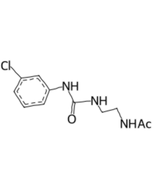 CC(=O)NCCNC(=O)Nc1cccc(Cl)c1